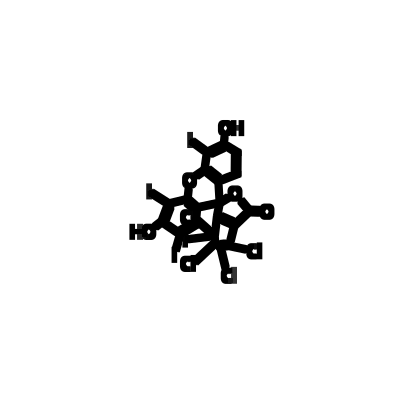 O=C1OC2(C3=C1C(Cl)=C(Cl)C(Cl)C3(Cl)I)c1ccc(O)c(I)c1Oc1c2cc(I)c(O)c1I